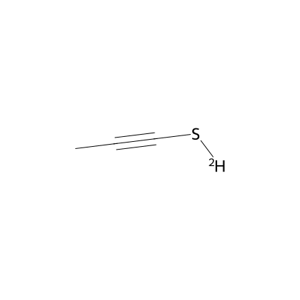 [2H]SC#CC